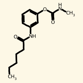 CCCCCC(=O)Nc1cccc(OC(=O)NC)c1